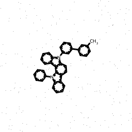 Cc1cccc(-c2cccc(-n3c4ccccc4c4c3ccc3c5ccccc5n(-c5ccccc5)c34)c2)c1